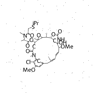 COc1cc2cc(c1Cl)N(C)C(=O)CC(OC(=O)C(C)N(C)C(=O)CSC(C)C)C1(C)OC1C(C)C1CC(O)(NC(=O)O1)C(OC)/C=C/C=C(\C)C2